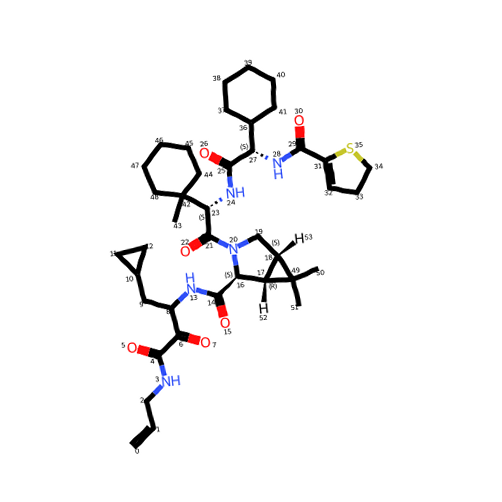 C=CCNC(=O)C(=O)C(CC1CC1)NC(=O)[C@@H]1[C@@H]2[C@H](CN1C(=O)[C@@H](NC(=O)[C@@H](NC(=O)C1=CCCS1)C1CCCCC1)C1(C)CCCCC1)C2(C)C